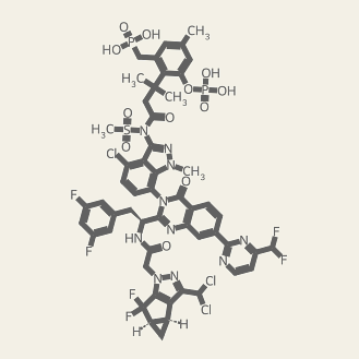 Cc1cc(CP(=O)(O)O)c(C(C)(C)CC(=O)N(c2nn(C)c3c(-n4c([C@H](Cc5cc(F)cc(F)c5)NC(=O)Cn5nc(C(Cl)Cl)c6c5C(F)(F)[C@@H]5C[C@H]65)nc5cc(-c6nccc(C(F)F)n6)ccc5c4=O)ccc(Cl)c23)S(C)(=O)=O)c(OP(=O)(O)O)c1